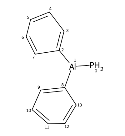 [PH2][Al]([c]1ccccc1)[c]1ccccc1